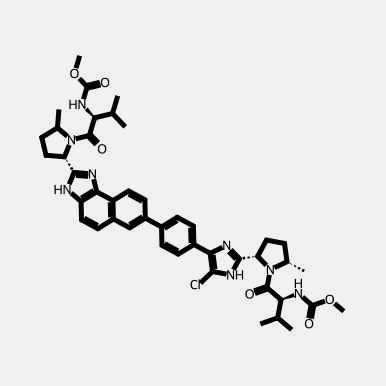 COC(=O)N[C@H](C(=O)N1C(C)CC[C@H]1c1nc2c(ccc3cc(-c4ccc(-c5nc([C@@H]6CC[C@H](C)N6C(=O)[C@@H](NC(=O)OC)C(C)C)[nH]c5Cl)cc4)ccc32)[nH]1)C(C)C